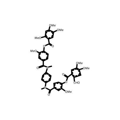 COc1cc(C=O)c(C(=O)Oc2ccc(C(=O)N(C)c3ccc(N(C)C(=O)c4ccc(OC(=O)c5cc(OC)c(OC)cc5OC)c(OC)c4)cc3)cc2OC)cc1OC